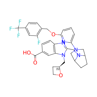 O=C(O)c1ccc2nc(CN3C4CCC3CN(c3cccc(OCc5ccc(C(F)(F)F)cc5F)n3)C4)n(C[C@@H]3CCO3)c2c1